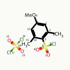 COc1cc(C)c(S(=O)(=O)Cl)c(C)c1.O=S(=O)(Cl)Cl